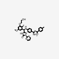 COc1cc(OCCO)c(F)c(C(Nc2ccc(/C(N)=N/C(=O)c3ccc(C)cc3)cc2)c2nn(-c3ncccn3)c(=O)[nH]2)c1